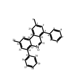 Cc1cc(-c2ccccc2)c2cnc3c(-c4ccccc4)cc(C)cc3c2c1